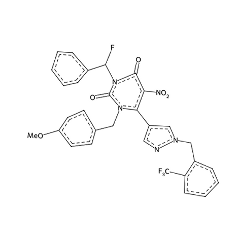 COc1ccc(Cn2c(-c3cnn(Cc4ccccc4C(F)(F)F)c3)c([N+](=O)[O-])c(=O)n(C(F)c3ccccc3)c2=O)cc1